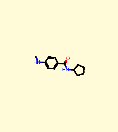 CNc1ccc(C(=O)NC2CCCC2)cc1